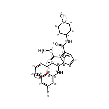 COC(=O)C1=C(C(=O)NC2CCN(C)CC2)C2C=CC1(C(Cc1ccccc1)Nc1cc(F)cc(F)c1)O2